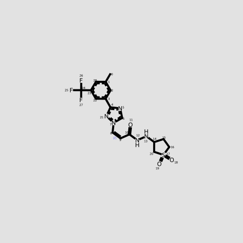 Cc1cc(-c2ncn(/C=C\C(=O)NNC3CCS(=O)(=O)C3)n2)cc(C(F)(F)F)c1